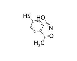 CC(=O)c1ccc(S)cc1.N#CO